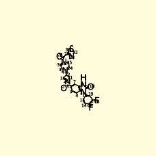 O=C(c1ccc2c(c1)[nH]c(=O)n2-c1ccc(F)c(F)c1)N1CC(N2CCN(C(=O)c3cscn3)CC2)C1